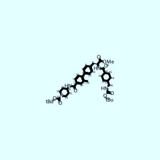 COC(=O)[C@H](Cc1ccc(-c2ccc(C(=O)NC3CCN(C(=O)OC(C)(C)C)CC3)cc2C)cc1)NC(=O)C1CCC(CNC(=O)OC(C)(C)C)CC1